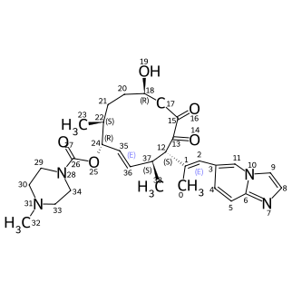 C/C(=C\c1ccc2nccn2c1)[C@H]1C(=O)C(=O)C[C@H](O)CC[C@H](C)[C@@H](OC(=O)N2CCN(C)CC2)/C=C/[C@@H]1C